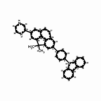 CC1(C)c2cc(-c3ccc(-n4c5ccccc5c5ccccc54)cc3)cc3ccc4cc(-c5cnccn5)cc1c4c23